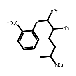 CCCCC(C)CCC(CCC)C(CCC)Oc1ccccc1C(=O)O